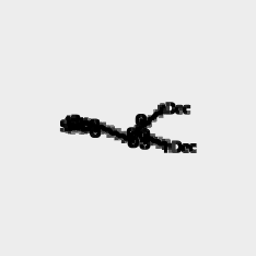 CCCCCCCCCCCCCCCC(=O)OCC(COC(=O)CCCCCCCCCCCCCCC)OC(=O)CCCCCCCCC(=O)Oc1ccc(CO[Si](C)(C)C(C)(C)C)cc1